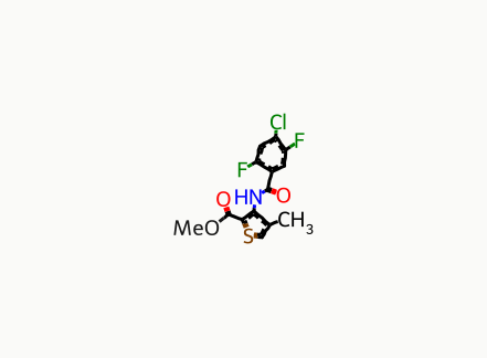 COC(=O)c1scc(C)c1NC(=O)c1cc(F)c(Cl)cc1F